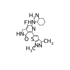 Cc1nn(C)c2sc(-c3nc(N[C@@H]4CCCC[C@@H]4N)c(F)c4c3C(=O)NC4)cc12